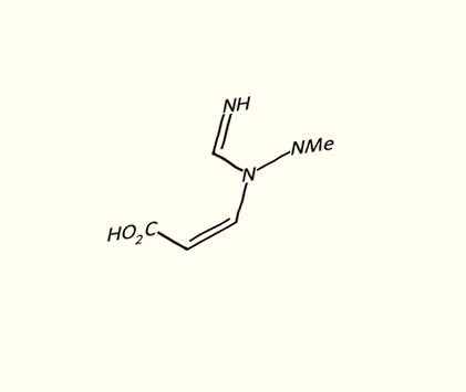 CNN(C=N)/C=C\C(=O)O